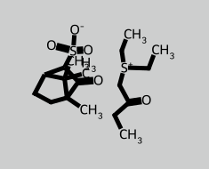 CC12CCC(C(S(=O)(=O)[O-])C1=O)C2(C)C.CCC(=O)C[S+](CC)CC